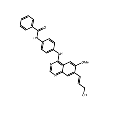 COc1cc2c(Nc3ccc(NC(=O)c4ccccc4)cc3)ncnc2cc1C=CCO